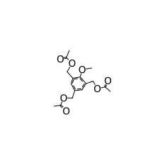 COc1c(COC(C)=O)cc(COC(C)=O)cc1COC(C)=O